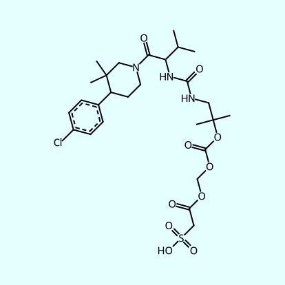 CC(C)C(NC(=O)NCC(C)(C)OC(=O)OCOC(=O)CS(=O)(=O)O)C(=O)N1CCC(c2ccc(Cl)cc2)C(C)(C)C1